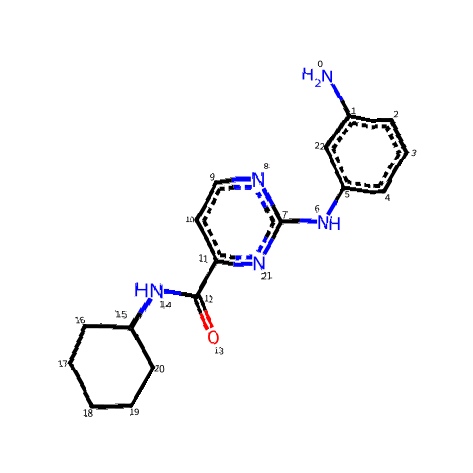 Nc1cccc(Nc2nccc(C(=O)NC3CCCCC3)n2)c1